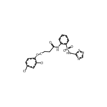 O=C(CCCOc1ccc(Cl)cc1Cl)Nc1ccccc1S(=O)(=O)Nc1ncns1